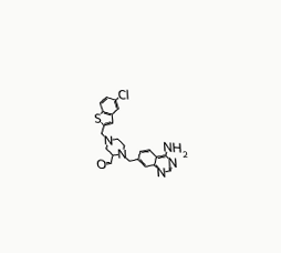 Nc1ncnc2cc(CN3CCN(Cc4cc5cc(Cl)ccc5s4)CC3C=O)ccc12